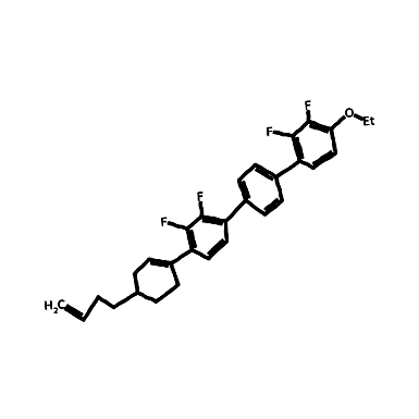 C=CCCC1CC=C(c2ccc(-c3ccc(-c4ccc(OCC)c(F)c4F)cc3)c(F)c2F)CC1